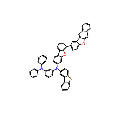 c1ccc(N(c2ccccc2)c2cccc(N(c3ccc4c(c3)oc3c(-c5ccc6oc7cc8ccccc8cc7c6c5)cccc34)c3ccc4sc5ccccc5c4c3)c2)cc1